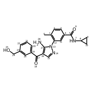 Cc1ccc(C(=O)NC2CC2)cc1-n1ncc(C(=O)c2cccc(CO)c2)c1N